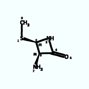 CS[C@H]1NC(=O)[C@H]1N